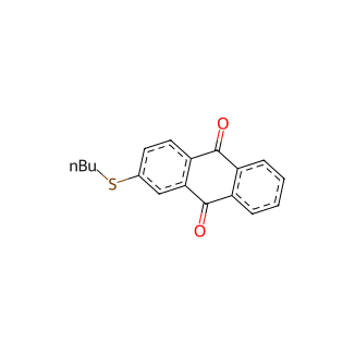 CCCCSc1ccc2c(c1)C(=O)c1ccccc1C2=O